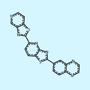 c1cc2sc(-c3ccc4sc(-c5ccc6nccnc6c5)nc4n3)nc2cn1